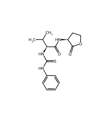 CC(C)[C@H](NC(=S)Nc1ccccc1)C(=O)N[C@H]1CCOC1=O